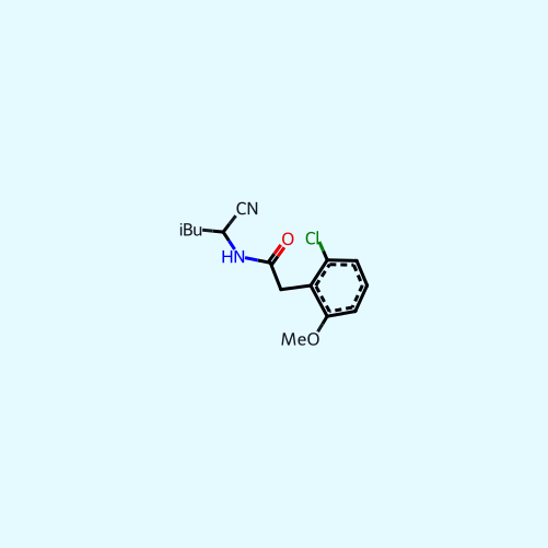 CCC(C)C(C#N)NC(=O)Cc1c(Cl)cccc1OC